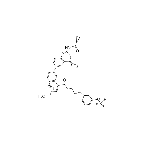 C=C1CC(NC(=O)C2CC2)=Nc2ccc(-c3ccc(C)c(/C(=C\CCC)C(=O)CCCCc4cccc(OC(F)(F)F)c4)c3)cc21